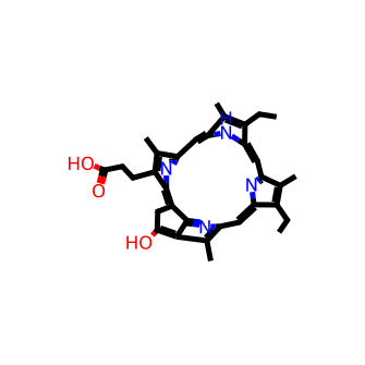 CCC1=C(C)C2=NC1=CC1=C(C)C3=C(O)CC(=C4N=C(C=c5[nH]c(c(CC)c5C)=C2)C(C)=C4CCC(=O)O)C3=N1